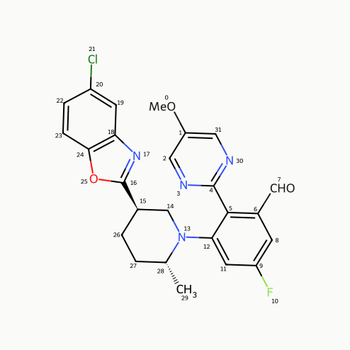 COc1cnc(-c2c(C=O)cc(F)cc2N2C[C@H](c3nc4cc(Cl)ccc4o3)CC[C@H]2C)nc1